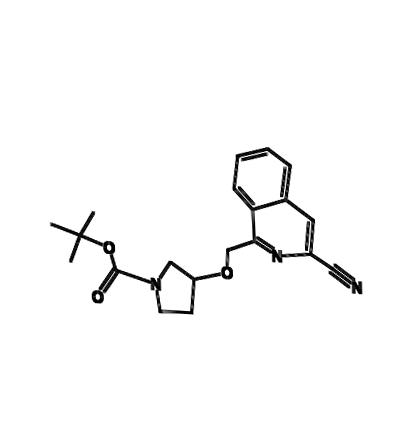 CC(C)(C)OC(=O)N1CCC(OCc2nc(C#N)cc3ccccc23)C1